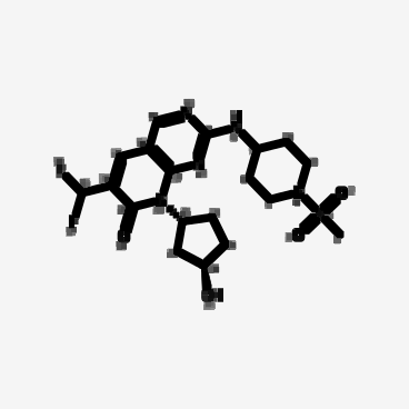 CS(=O)(=O)N1CCC(Nc2ncc3cc(C(F)F)c(=O)n([C@@H]4CC[C@@H](O)C4)c3n2)CC1